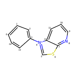 c1ccc(-[n+]2csc3ncccc32)cc1